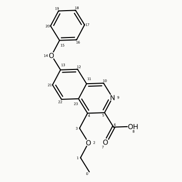 CCOCc1c(C(=O)O)ncc2cc(Oc3ccccc3)ccc12